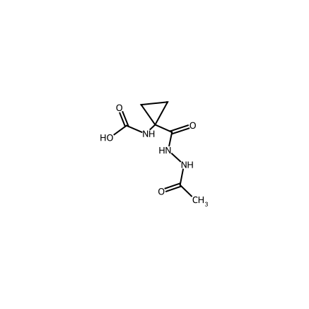 CC(=O)NNC(=O)C1(NC(=O)O)CC1